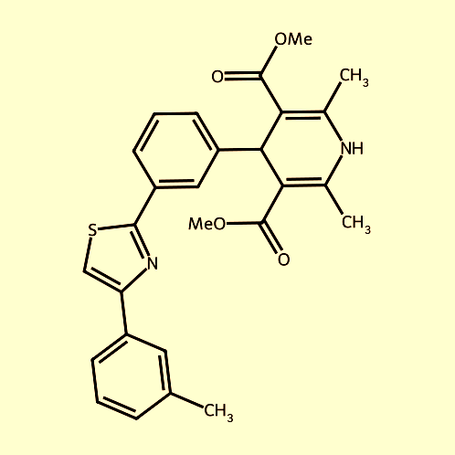 COC(=O)C1=C(C)NC(C)=C(C(=O)OC)C1c1cccc(-c2nc(-c3cccc(C)c3)cs2)c1